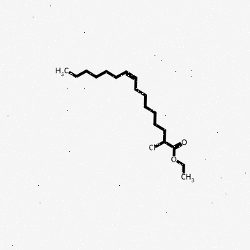 CCCCCC/C=C\CCCCCCC(Cl)C(=O)OCC